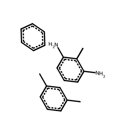 Cc1c(N)cccc1N.Cc1cccc(C)c1.c1ccccc1